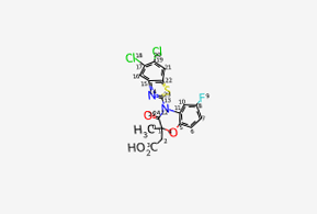 CC1(CC(=O)O)Oc2ccc(F)cc2N(c2nc3cc(Cl)c(Cl)cc3s2)C1=O